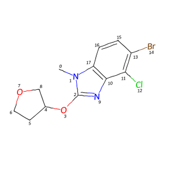 Cn1c(OC2CCOC2)nc2c(Cl)c(Br)ccc21